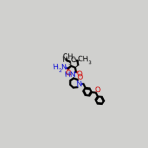 CCC[C@H](C(N)=O)[C@@H](CC(C)C)C(=O)N[C@H]1CCCCN(Cc2cccc(C(=O)c3ccccc3)c2)C1=O